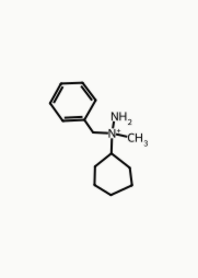 C[N+](N)(Cc1ccccc1)C1CCCCC1